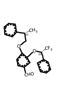 C[C@H](COc1ccc(C=O)cc1O[C@@H](c1ccccc1)C(F)(F)F)c1ccccc1